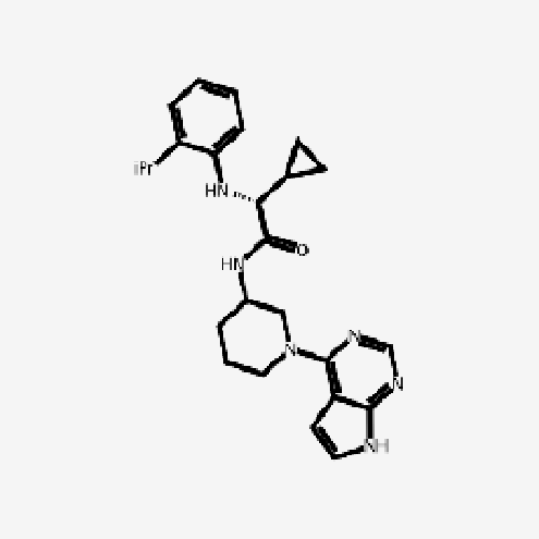 CC(C)c1ccccc1N[C@@H](C(=O)N[C@@H]1CCCN(c2ncnc3[nH]ccc23)C1)C1CC1